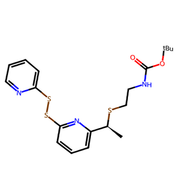 C[C@H](SCCNC(=O)OC(C)(C)C)c1cccc(SSc2ccccn2)n1